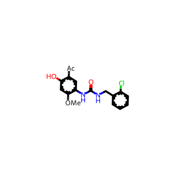 COc1cc(O)c(C(C)=O)cc1NC(=O)NCc1ccccc1Cl